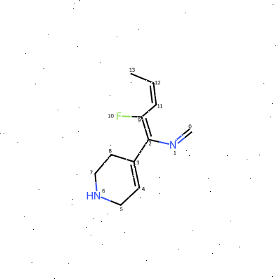 C=N/C(C1=CCNCC1)=C(F)\C=C/C